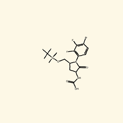 CC(C)(C)[Si](C)(C)OCC1CC(NC(=O)O)C(=O)N1c1ccc(Br)c(F)c1F